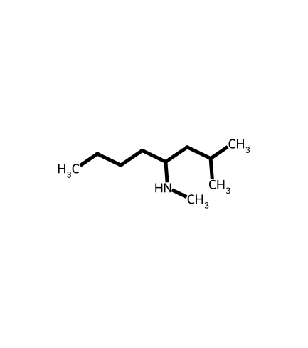 CCCCC(CC(C)C)NC